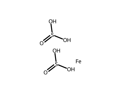 O=S(O)O.O=S(O)O.[Fe]